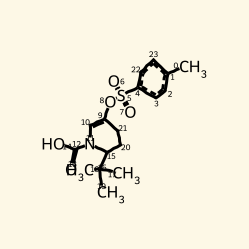 Cc1ccc(S(=O)(=O)OC2=CN(C(=O)O)C(C(C)(C)C)CC2)cc1